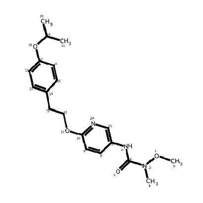 CON(C)C(=O)Nc1ccc(OCCc2ccc(OC(C)C)cc2)nc1